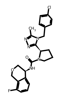 Cc1nnc([C@H]2CCCN2C(=O)N[C@@H]2COCc3c(F)cccc32)n1Cc1ccc(Cl)cc1